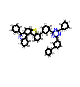 c1ccc(-c2cccc(-c3nc(-c4ccccc4)nc(-c4cccc(-c5cccc6c5sc5ccc7c(-c8ccccc8)nc8ccccc8c7c56)c4)n3)c2)cc1